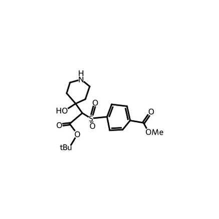 COC(=O)c1ccc(S(=O)(=O)C(C(=O)OC(C)(C)C)C2(O)CCNCC2)cc1